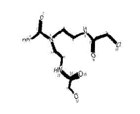 CCCC(=O)N(CCNC(=O)CCl)CCNC(=O)CCl